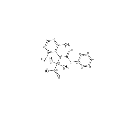 Cc1cccc(C)c1N(C(=S)Cc1ccccc1)C(C)(C)C(=O)O